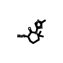 CNC1CCCC(C)(C)N(c2csc(C)n2)C1=O